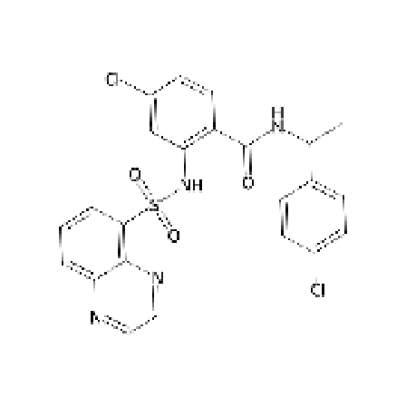 CC(NC(=O)c1ccc(Cl)cc1NS(=O)(=O)c1cccc2nccnc12)c1ccc(Cl)cc1